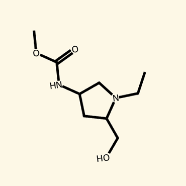 CCN1CC(NC(=O)OC)CC1CO